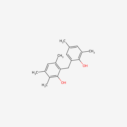 Cc1cc(C)c(O)c(Cc2c(C)cc(C)c(C)c2O)c1